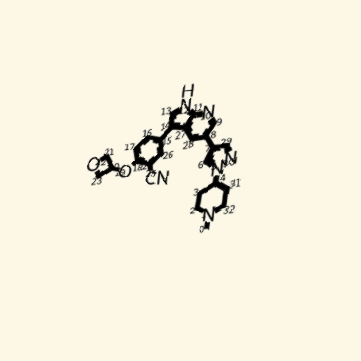 CN1CCC(n2cc(-c3cnc4[nH]cc(-c5ccc(OC6COC6)c(C#N)c5)c4c3)cn2)CC1